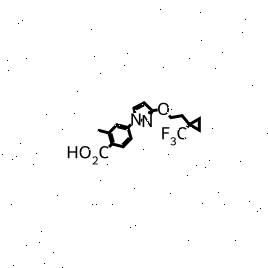 Cc1cc(-n2ccc(OCCC3(C(F)(F)F)CC3)n2)ccc1C(=O)O